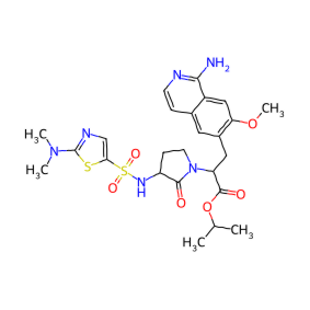 COc1cc2c(N)nccc2cc1CC(C(=O)OC(C)C)N1CCC(NS(=O)(=O)c2cnc(N(C)C)s2)C1=O